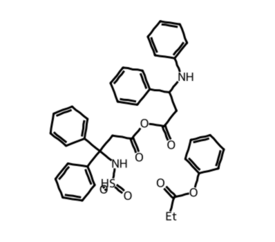 CCC(=O)Oc1ccccc1.O=C(CC(Nc1ccccc1)c1ccccc1)OC(=O)CC(N[SH](=O)=O)(c1ccccc1)c1ccccc1